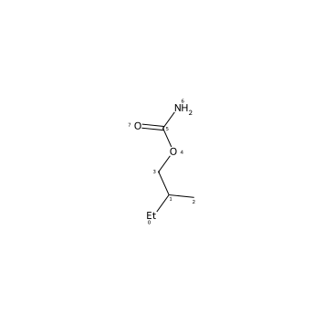 CCC(C)COC(N)=O